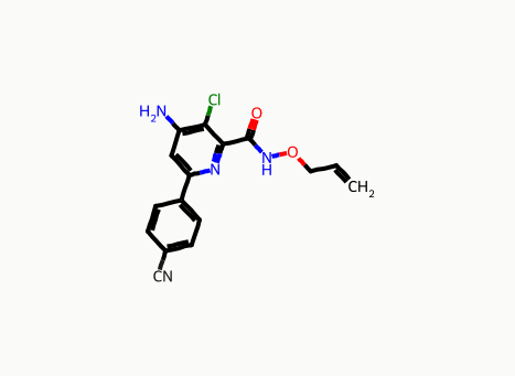 C=CCONC(=O)c1nc(-c2ccc(C#N)cc2)cc(N)c1Cl